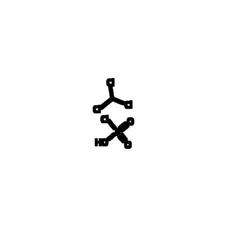 ClC(Cl)Cl.O=S(=O)(O)Cl